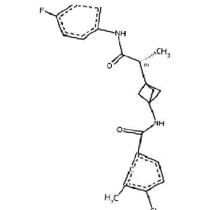 Cc1cc(C(=O)NC23CC([C@@H](C)C(=O)Nc4ccc(F)cc4)(C2)C3)ccc1Cl